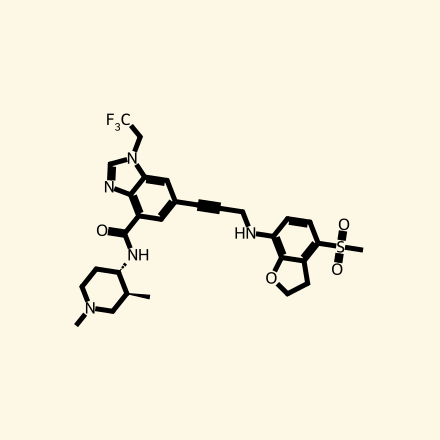 C[C@H]1CN(C)CC[C@@H]1NC(=O)c1cc(C#CCNc2ccc(S(C)(=O)=O)c3c2OCC3)cc2c1ncn2CC(F)(F)F